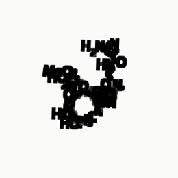 CO[C@]1(C)C[C@H](O[C@H]2[C@H](C)[C@@H](O[C@@H]3O[C@H](C)C[C@H](N(C)C)[C@H]3OCCCNC(=O)c3cncc(N)c3)[C@](C)(O)C[C@@H](C)CN(C)[C@H](C)[C@@H](O)[C@](C)(O)[C@@H](I)OC(=O)[C@@H]2C)O[C@@H](C)[C@@H]1O